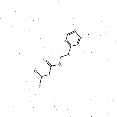 O=C(CC(Cl)Cl)OCCc1ccccc1